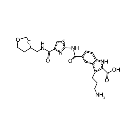 NCCCc1c(C(=O)O)[nH]c2ccc(C(=O)Nc3nc(C(=O)NCC4CCOCC4)cs3)cc12